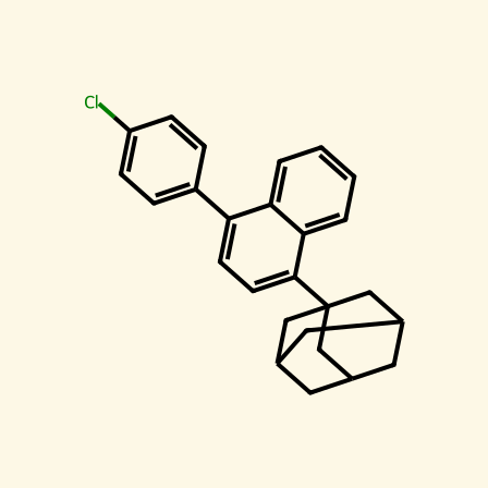 Clc1ccc(-c2ccc(C34CC5CC(CC(C5)C3)C4)c3ccccc23)cc1